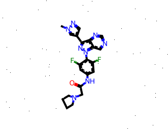 Cn1cc(-c2nn(-c3c(F)cc(NC(=O)CN4CCCC4)cc3F)c3cncnc23)cn1